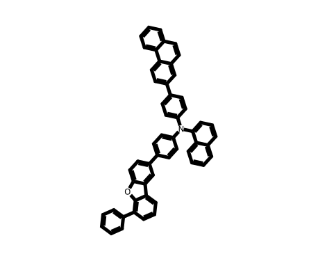 c1ccc(-c2cccc3c2oc2ccc(-c4ccc(N(c5ccc(-c6ccc7c(ccc8ccccc87)c6)cc5)c5cccc6ccccc56)cc4)cc23)cc1